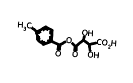 Cc1ccc(C(=O)OC(=O)C(O)C(O)C(=O)O)cc1